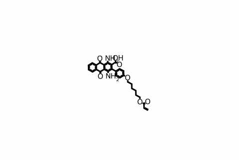 C=CC(=O)OCCCCCCOc1ccc(-c2c(N)c3c(c(N)c2C(=O)O)C(=O)c2ccccc2C3=O)cc1